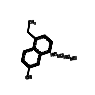 CCc1cccc2cc(O)ccc12.Cl.Cl.Cl.Cl